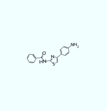 Nc1ccc(-c2csc(NC(=O)c3ccccc3)n2)cc1